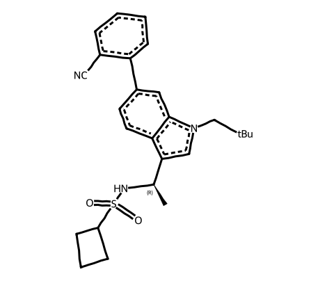 C[C@@H](NS(=O)(=O)C1CCC1)c1cn(CC(C)(C)C)c2cc(-c3ccccc3C#N)ccc12